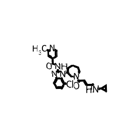 Cc1cc(C(=O)Nc2nc3cccc(Cl)c3n2[C@@H]2CCCCN(C(=O)C=CCNC3CC3)C2)ccn1